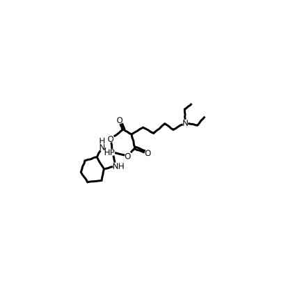 CCN(CC)CCCCC1C(=O)O[PH]2(NC3CCCCC3N2)OC1=O